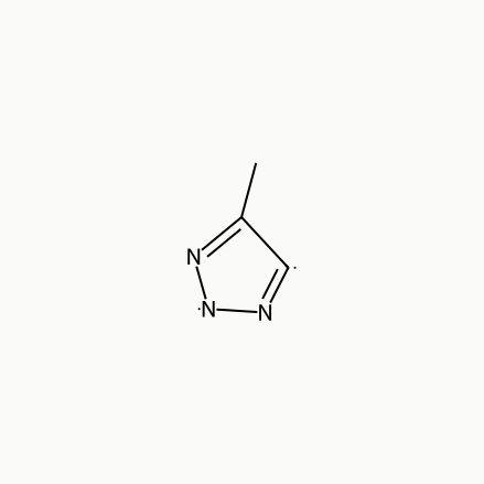 CC1=N[N]N=[C]1